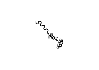 CC/C=C\C/C=C\C/C=C\C/C=C\C/C=C\C/C=C\CCC(=O)Nc1cc[n+](CCCCc2c3occc3cc3ccc(=O)oc23)cc1